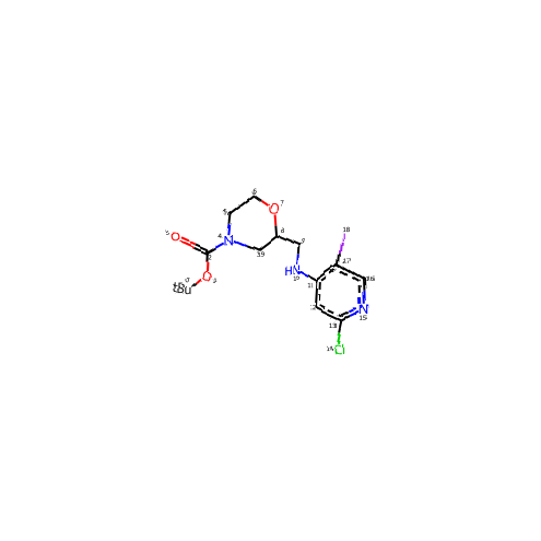 CC(C)(C)OC(=O)N1CCOC(CNc2cc(Cl)ncc2I)C1